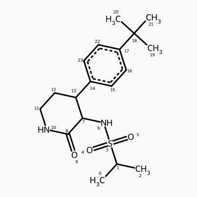 CC(C)S(=O)(=O)NC1C(=O)NCCC1c1ccc(C(C)(C)C)cc1